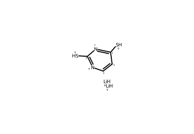 Sc1ccnc(S)n1.[LiH].[LiH]